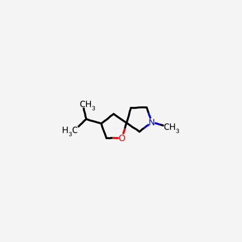 CC(C)C1COC2(CCN(C)C2)C1